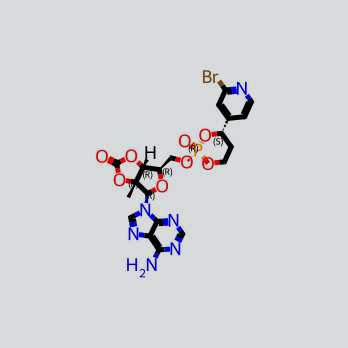 C[C@@]12OC(=O)O[C@@H]1[C@@H](CO[P@@]1(=O)OCC[C@@H](c3ccnc(Br)c3)O1)O[C@H]2n1cnc2c(N)ncnc21